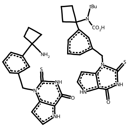 CC(C)(C)N(C(=O)O)C1(c2cccc(Cn3c(=S)[nH]c(=O)c4[nH]ccc43)c2)CCC1.NC1(c2cccc(Cn3c(=S)[nH]c(=O)c4[nH]ccc43)c2)CCC1